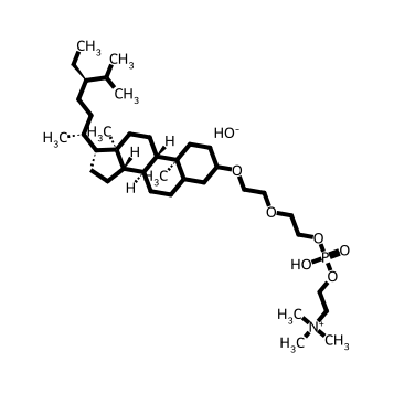 CC[C@H](CC[C@@H](C)[C@H]1CC[C@H]2[C@@H]3CCC4CC(OCCOCCOP(=O)(O)OCC[N+](C)(C)C)CC[C@]4(C)[C@H]3CC[C@]12C)C(C)C.[OH-]